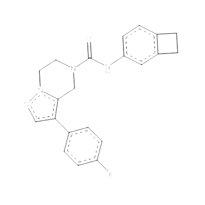 O=C(Nc1ccc2c(c1)CC2)N1CCn2ncc(-c3ccc(F)cc3)c2C1